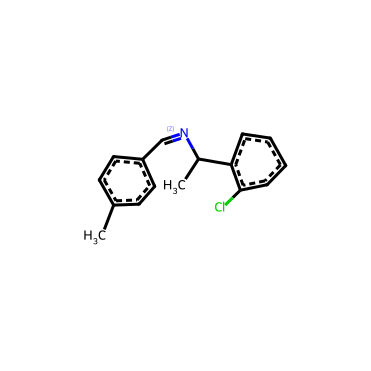 Cc1ccc(/C=N\C(C)c2ccccc2Cl)cc1